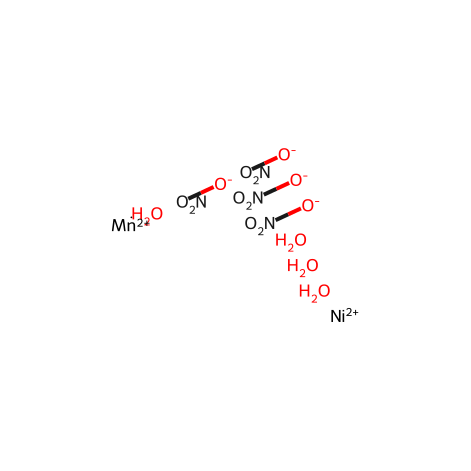 O.O.O.O.O=[N+]([O-])[O-].O=[N+]([O-])[O-].O=[N+]([O-])[O-].O=[N+]([O-])[O-].[Mn+2].[Ni+2]